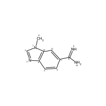 Cn1cnc2ccc(C(=N)N)cc21